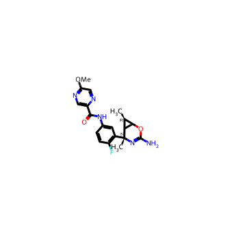 COc1cnc(C(=O)Nc2ccc(F)c([C@@]3(C)N=C(N)OC4C3[C@H]4C)c2)cn1